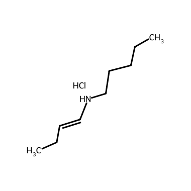 CC/C=C/NCCCCC.Cl